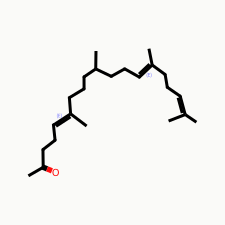 CC(=O)CC/C=C(\C)CCCC(C)CC/C=C(\C)CCC=C(C)C